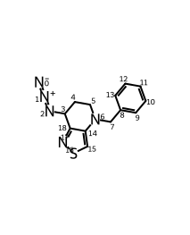 [N-]=[N+]=NC1CCN(Cc2ccccc2)c2csnc21